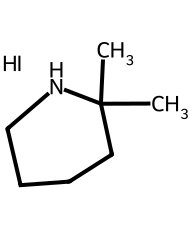 CC1(C)CCCCN1.I